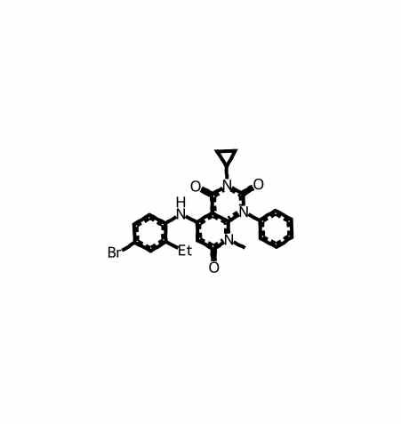 CCc1cc(Br)ccc1Nc1cc(=O)n(C)c2c1c(=O)n(C1CC1)c(=O)n2-c1ccccc1